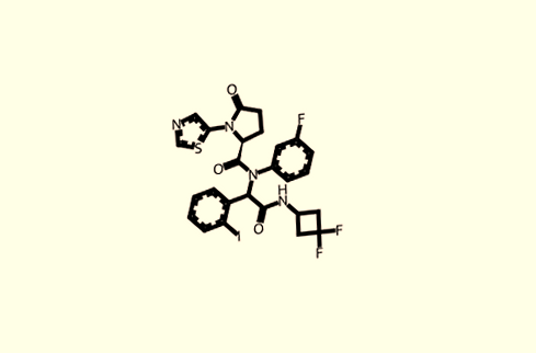 O=C(NC1CC(F)(F)C1)C(c1ccccc1I)N(C(=O)[C@@H]1CCC(=O)N1c1cncs1)c1cccc(F)c1